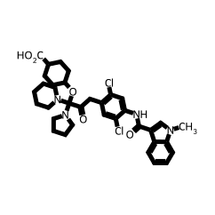 Cn1cc(C(=O)Nc2cc(Cl)c(CC(=O)C(OC3CCC(C(=O)O)CC3)(N3CCCCC3)N3CCCC3)cc2Cl)c2ccccc21